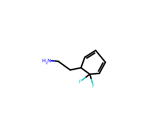 NCCC1C=CC=CC1(F)F